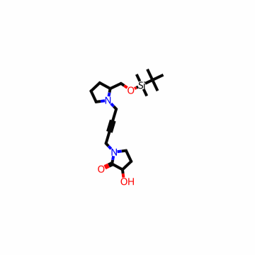 CC(C)(C)[Si](C)(C)OCC1CCCN1CC#CCN1CCC(O)C1=O